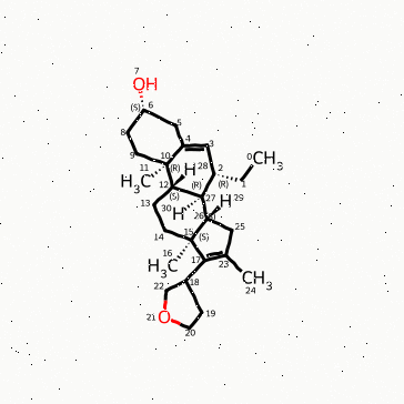 CC[C@H]1C=C2C[C@@H](O)CC[C@]2(C)[C@H]2CC[C@]3(C)C(C4CCOC4)=C(C)C[C@H]3[C@H]12